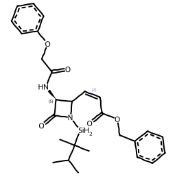 CC(C)C(C)(C)[SiH2]N1C(=O)[C@@H](NC(=O)COc2ccccc2)C1/C=C\C(=O)OCc1ccccc1